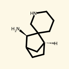 N[C@@H]1C2CC[C@@H](C2)C12CCCNC2